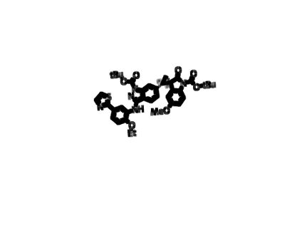 CCOc1ccc(-c2nccs2)cc1Nc1nn(C(=O)OC(C)(C)C)c2cc([C@@H]3C[C@@]34C(=O)N(C(=O)OC(C)(C)C)c3ccc(OC)cc34)ccc12